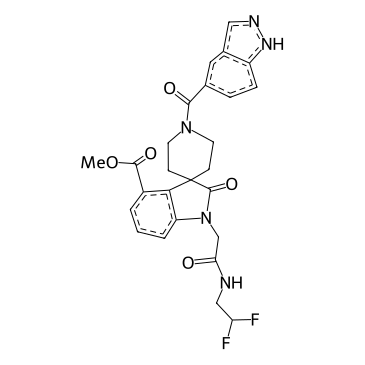 COC(=O)c1cccc2c1C1(CCN(C(=O)c3ccc4[nH]ncc4c3)CC1)C(=O)N2CC(=O)NCC(F)F